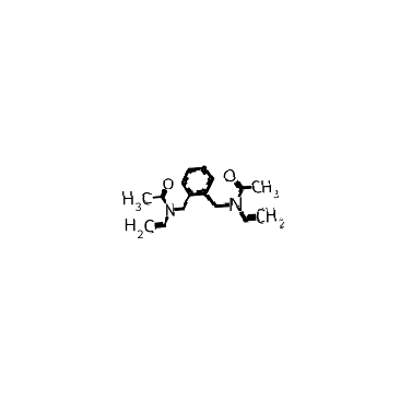 C=CN(Cc1ccccc1CN(C=C)C(C)=O)C(C)=O